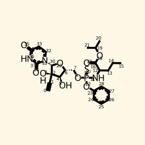 C#C[C@@]1(O)[C@H](O)[C@@H](COP(=S)(NC(CCC)C(=O)OC(C)C)Oc2ccccc2)O[C@H]1n1ccc(=O)[nH]c1=O